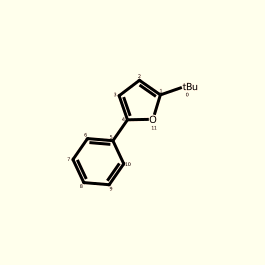 CC(C)(C)c1ccc(-c2ccccc2)o1